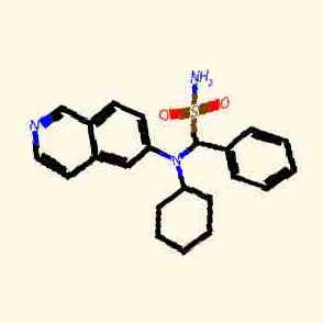 NS(=O)(=O)C(c1ccccc1)N(c1ccc2cnccc2c1)C1CCCCC1